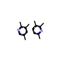 Cc1ccc(C)c(C)n1.Cc1cnc(C)c(C)c1